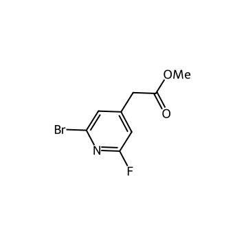 COC(=O)Cc1cc(F)nc(Br)c1